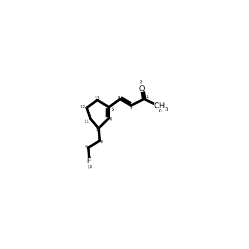 CC(=O)C=CC1=CC(CCF)CCC1